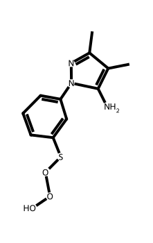 Cc1nn(-c2cccc(SOOO)c2)c(N)c1C